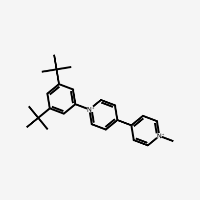 C[n+]1ccc(-c2cc[n+](-c3cc(C(C)(C)C)cc(C(C)(C)C)c3)cc2)cc1